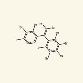 BrC(Br)=C(c1ccc(Br)c(Br)c1Br)c1c(Br)c(Br)c(Br)c(Br)c1Br